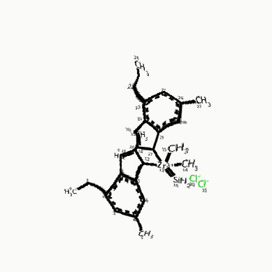 CCc1cc(C)cc2c1C=C(C)[CH]2[Zr+2]([CH3])([CH3])(=[SiH2])[CH]1C(C)=Cc2c(CC)cc(C)cc21.[Cl-].[Cl-]